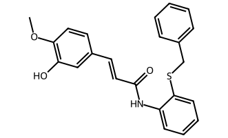 COc1ccc(C=CC(=O)Nc2ccccc2SCc2ccccc2)cc1O